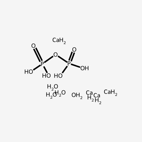 O.O.O.O.O=P(O)(O)OP(=O)(O)O.[CaH2].[CaH2].[CaH2].[CaH2]